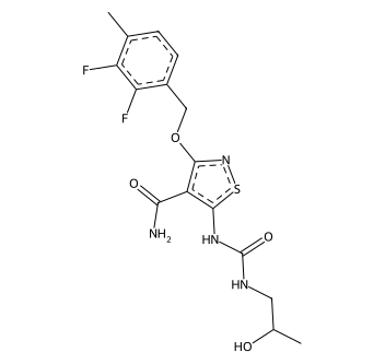 Cc1ccc(COc2nsc(NC(=O)NCC(C)O)c2C(N)=O)c(F)c1F